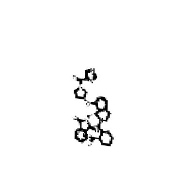 O=C(O)[C@@H]1CCCCC1C(=O)N1CCc2cccc(O[C@H]3CCN(C(=O)c4cncs4)C3)c2[C@H]1CN1C(=O)c2ccccc2C1=O